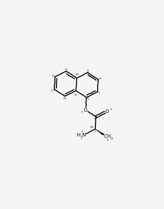 C[C@@H](N)C(=O)Oc1cccc2ccccc12